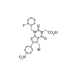 CCOC(=O)Cn1c(=O)c2c(CBr)c(-c3ccc([N+](=O)[O-])cc3)sc2n(Cc2ccccc2F)c1=O